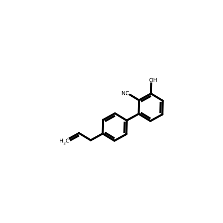 C=CCc1ccc(-c2cccc(O)c2C#N)cc1